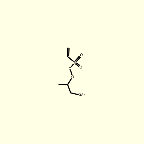 C=CS(=O)(=O)OOC(C)CSC